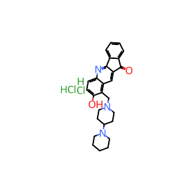 Cl.Cl.O=C1c2ccccc2-c2nc3ccc(O)c(CN4CCC(N5CCCCC5)CC4)c3cc21